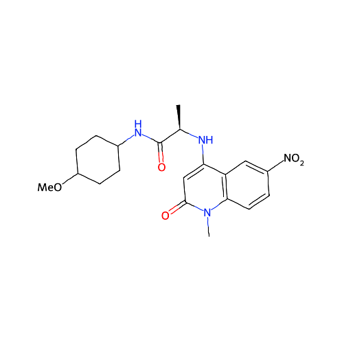 COC1CCC(NC(=O)[C@@H](C)Nc2cc(=O)n(C)c3ccc([N+](=O)[O-])cc23)CC1